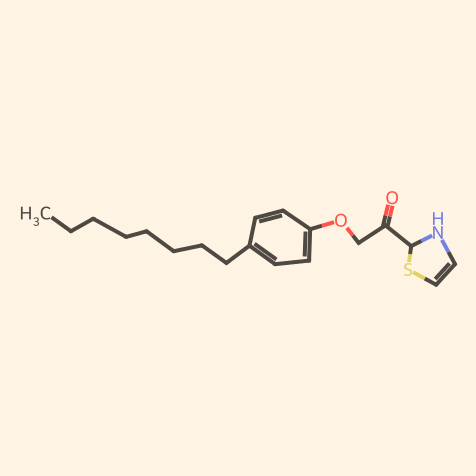 CCCCCCCCc1ccc(OCC(=O)C2NC=CS2)cc1